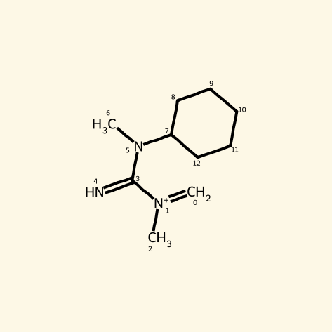 C=[N+](C)C(=N)N(C)C1CCCCC1